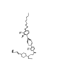 C=CCCC1CCC(C(CC)CCC(=C)c2ccc(C3=CC=C(c4ccc(CCCCCCCCC)c(F)c4F)CC3)c(F)c2)CC1